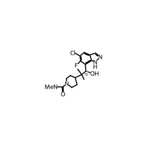 CNC(=O)N1CCC(C(C)(C)[C@H](O)c2c(F)c(Cl)cc3cn[nH]c23)CC1